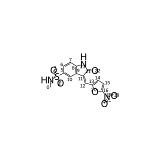 CNS(=O)(=O)c1ccc2c(c1)C(=Cc1ccc([N+](=O)[O-])o1)C(=O)N2